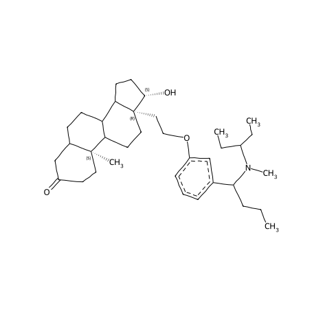 CCCC(c1cccc(OCC[C@]23CCC4C(CCC5CC(=O)CC[C@@]54C)C2CC[C@@H]3O)c1)N(C)C(CC)CC